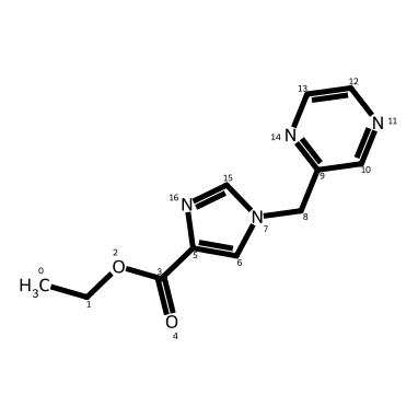 CCOC(=O)c1cn(Cc2cnccn2)cn1